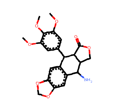 COc1cc(C2c3cc4c(cc3C(N)C3COC(=O)C23)OCO4)cc(OC)c1OC